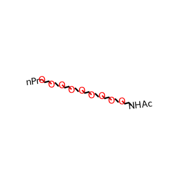 CCCOCCOCCOCCOCCOCCOCCOCCOCCOCCNC(C)=O